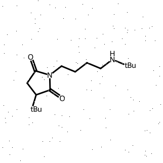 CC(C)(C)NCCCCN1C(=O)CC(C(C)(C)C)C1=O